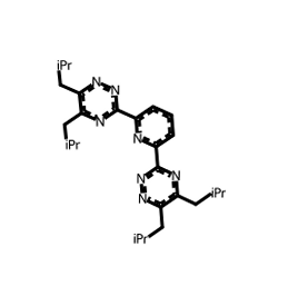 CC(C)Cc1nnc(-c2cccc(-c3nnc(CC(C)C)c(CC(C)C)n3)n2)nc1CC(C)C